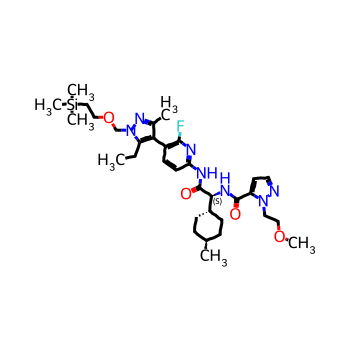 CCc1c(-c2ccc(NC(=O)[C@@H](NC(=O)c3ccnn3CCOC)[C@H]3CC[C@H](C)CC3)nc2F)c(C)nn1COCC[Si](C)(C)C